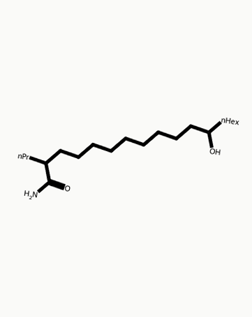 CCCCCCC(O)CCCCCCCCCC(CCC)C(N)=O